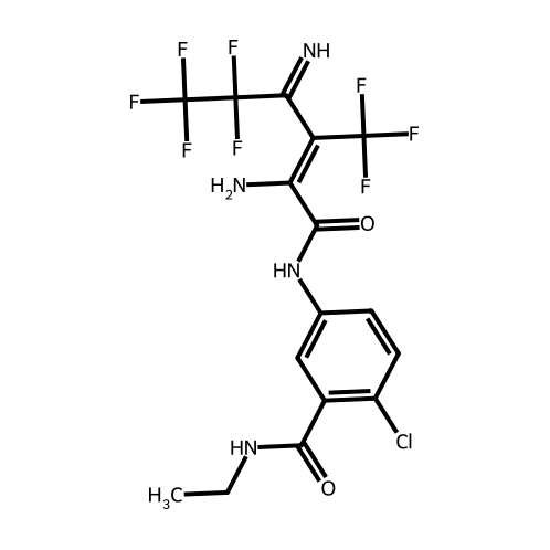 CCNC(=O)c1cc(NC(=O)/C(N)=C(/C(=N)C(F)(F)C(F)(F)F)C(F)(F)F)ccc1Cl